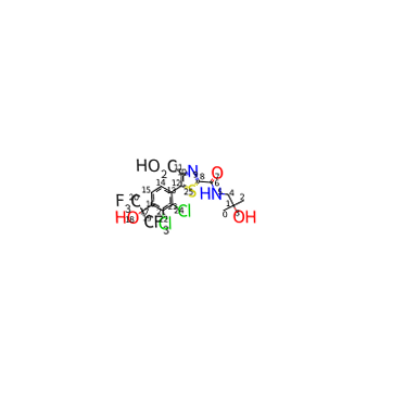 CC(C)(O)CNC(=O)c1nc(C(=O)O)c(-c2ccc(C(O)(C(F)(F)F)C(F)(F)F)c(Cl)c2Cl)s1